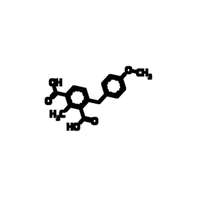 COc1ccc(Cc2ccc(C(=O)O)c(C)c2C(=O)O)cc1